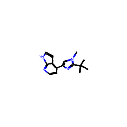 Cn1cc(-c2ccnc3[nH]ccc23)nc1C(C)(C)C